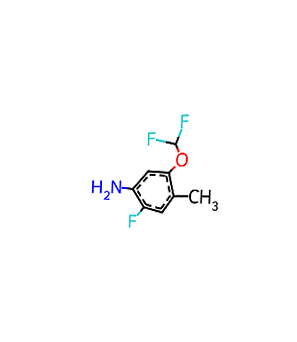 Cc1cc(F)c(N)cc1OC(F)F